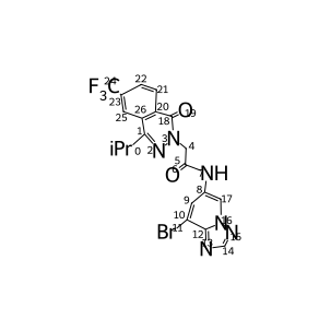 CC(C)c1nn(CC(=O)Nc2cc(Br)c3ncnn3c2)c(=O)c2ccc(C(F)(F)F)cc12